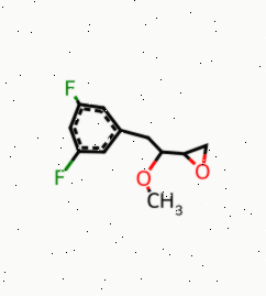 COC(Cc1cc(F)cc(F)c1)C1CO1